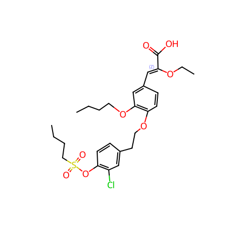 CCCCOc1cc(/C=C(\OCC)C(=O)O)ccc1OCCc1ccc(OS(=O)(=O)CCCC)c(Cl)c1